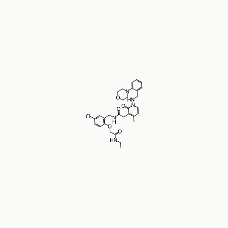 CCNC(=O)COc1ccc(Cl)cc1CNC(=O)Cc1c(C)ccn(NCc2ccccc2N2CCOCC2)c1=O